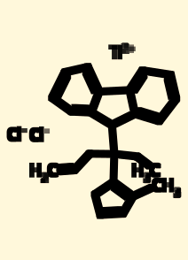 C=CCC(CC)(C1=C(C)C=CC1)C1c2ccccc2-c2ccccc21.[Cl-].[Cl-].[Ti+2]